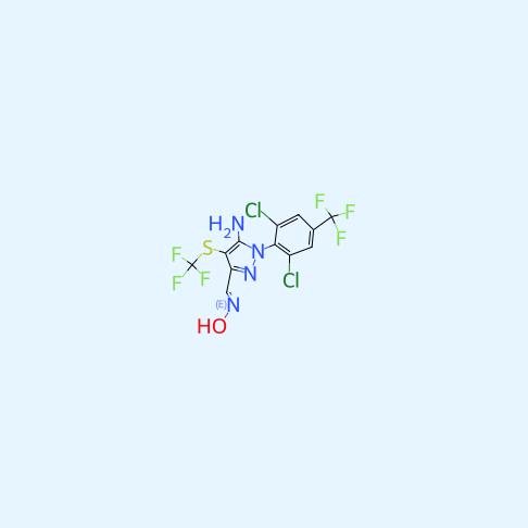 Nc1c(SC(F)(F)F)c(/C=N/O)nn1-c1c(Cl)cc(C(F)(F)F)cc1Cl